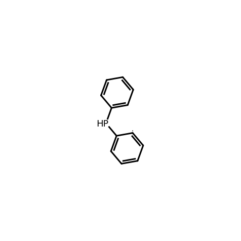 [c]1ccccc1Pc1ccccc1